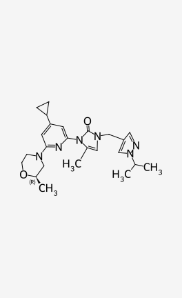 Cc1cn(Cc2cnn(C(C)C)c2)c(=O)n1-c1cc(C2CC2)cc(N2CCO[C@H](C)C2)n1